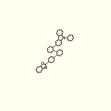 c1ccc(-n2c3ccccc3c3cc(-c4ccccc4-c4ccccc4-c4ccc(-c5nc6ccccc6o5)cc4)ccc32)cc1